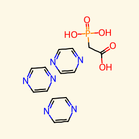 O=C(O)CP(=O)(O)O.c1cnccn1.c1cnccn1.c1cnccn1